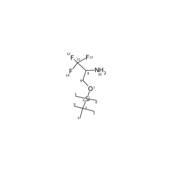 CC(C)(C)[Si](C)(C)OCC(N)C(F)(F)F